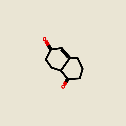 O=C1C=C2CCCC(=O)C2CC1